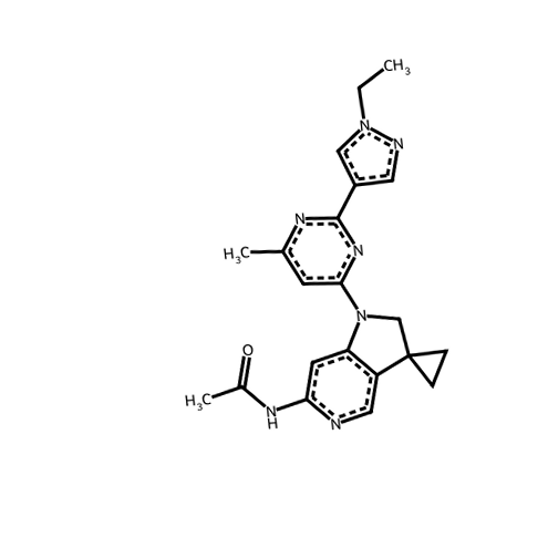 CCn1cc(-c2nc(C)cc(N3CC4(CC4)c4cnc(NC(C)=O)cc43)n2)cn1